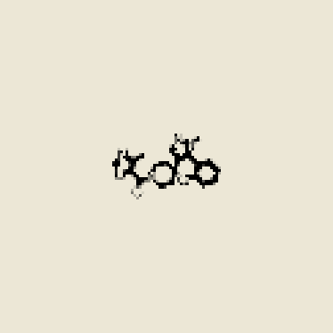 Cc1ncoc1C(=O)N1CCC2(CC1)Oc1ccccc1-c1c2cnn1C